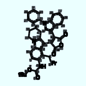 CC(C)Cc1c(NC(=O)OC(C)(C)C)ccc2c1c(C1=C(c3cn(-c4ccccc4)c4ccccc34)C(=O)OC1=O)c1n2CCCC1